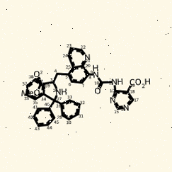 COC(=O)C(Cc1ccc(NC(=O)Nc2ncncc2C(=O)O)c2ncccc12)NC(c1ccccc1)(c1ccccc1)c1ccccc1